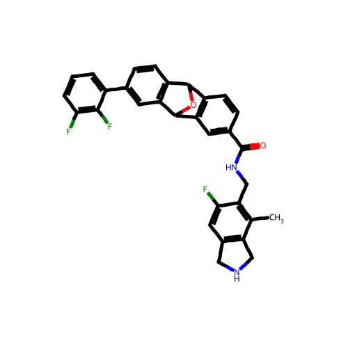 Cc1c(CNC(=O)c2ccc3c(c2)C2OC3c3ccc(-c4cccc(F)c4F)cc32)c(F)cc2c1CNC2